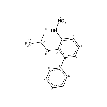 O=[N+]([O-])Nc1cccc(-c2ccccc2)c1OC(F)C(F)(F)F